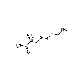 C=CCSSC[C@H](N)C(N)=O